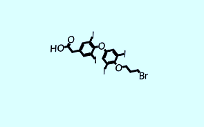 O=C(O)Cc1cc(I)c(Oc2cc(I)c(OCCCBr)c(I)c2)c(I)c1